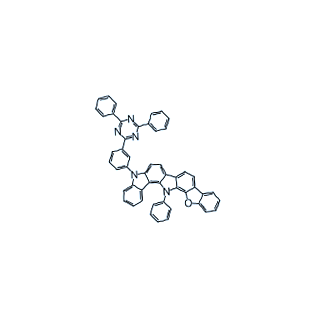 c1ccc(-c2nc(-c3ccccc3)nc(-c3cccc(-n4c5ccccc5c5c4ccc4c6ccc7c8ccccc8oc7c6n(-c6ccccc6)c45)c3)n2)cc1